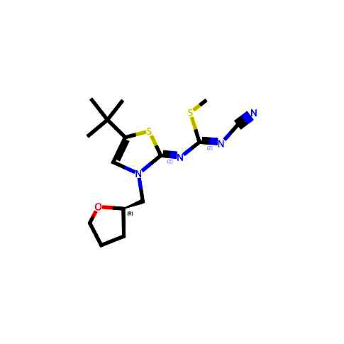 CSC(=N\C#N)/N=c1\sc(C(C)(C)C)cn1C[C@H]1CCCO1